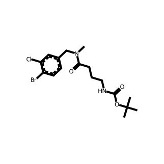 CN(Cc1ccc(Br)c(Cl)c1)C(=O)CCCNC(=O)OC(C)(C)C